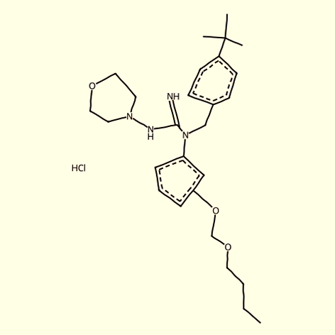 CCCCOCOc1cccc(N(Cc2ccc(C(C)(C)C)cc2)C(=N)NN2CCOCC2)c1.Cl